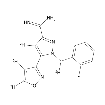 [2H]c1onc(-c2c([2H])c(C(=N)N)nn2C([2H])c2ccccc2F)c1[2H]